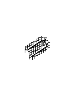 FC(C(F)(F)OC(F)(F)C(F)C(F)(F)C(F)(F)C(F)(F)C(F)(F)C(F)(F)C(F)(F)C(F)(F)C(F)(F)F)C(F)(F)C(F)(F)C(F)(F)C(F)(F)C(F)(F)C(F)(F)C(F)(F)C(F)(F)F